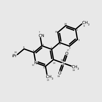 Cc1ccc(-c2c(C#N)c(CC(C)C)nc(C)c2S(C)(=O)=O)cc1